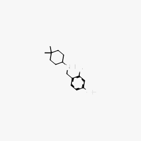 CC1(C)CCC(NCc2ccc(O)cc2O)CC1